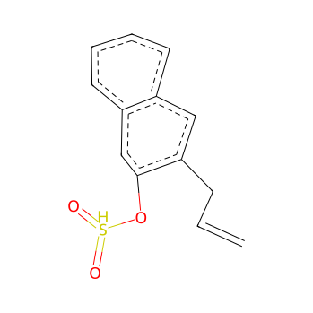 C=CCc1cc2ccccc2cc1O[SH](=O)=O